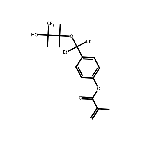 C=C(C)C(=O)Oc1ccc(C(CC)(CC)OC(C)(C)C(C)(O)C(F)(F)F)cc1